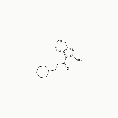 CC(C)(C)c1nc2ccccc2n1C(=O)CCC1CCCCC1